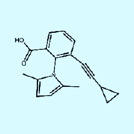 Cc1ccc(C)n1-c1c(C#CC2CC2)cccc1C(=O)O